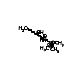 CCCCCCCC(O)CCCC(=O)NCCC[Si](OCC)(OCC)OCC